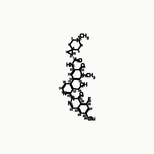 CN1CCC2(CC1)C[C@H]2C(=O)Nc1cc(-c2ccnc(-n3ncc4cc(C(C)(C)C)cc(F)c4c3=O)c2CO)cn(C)c1=O